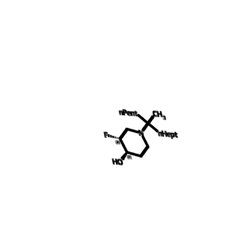 CCCCCCCC(C)(CCCCC)N1CC[C@@H](O)[C@H](F)C1